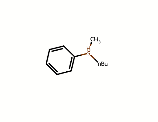 CCCC[SH](C)c1ccccc1